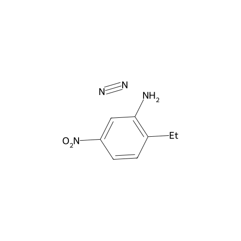 CCc1ccc([N+](=O)[O-])cc1N.N#N